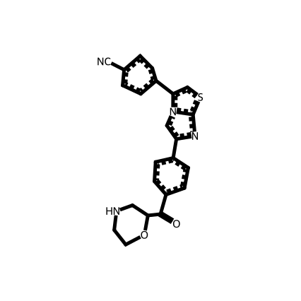 N#Cc1ccc(-c2csc3nc(-c4ccc(C(=O)C5CNCCO5)cc4)cn23)cc1